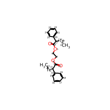 C[Te]C(C(=O)OCCOC(=O)C([Te]C)c1ccccc1)c1ccccc1